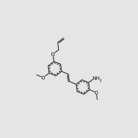 C=CCOc1cc(/C=C/c2ccc(OC)c(N)c2)cc(OC)c1